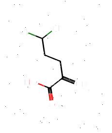 C=C(CCC(Cl)Cl)C(=O)O